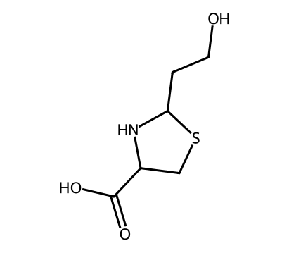 O=C(O)C1CSC(CCO)N1